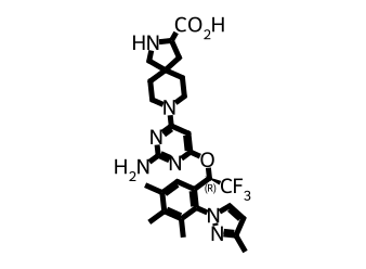 Cc1ccn(-c2c([C@@H](Oc3cc(N4CCC5(CC4)CNC(C(=O)O)C5)nc(N)n3)C(F)(F)F)cc(C)c(C)c2C)n1